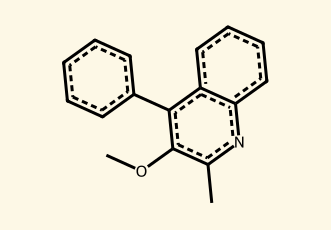 COc1c(C)nc2ccccc2c1-c1ccccc1